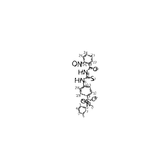 CN(c1ccccc1)S(=O)(=O)c1ccc(NC(=S)NC(=O)c2ccccc2N=O)cc1